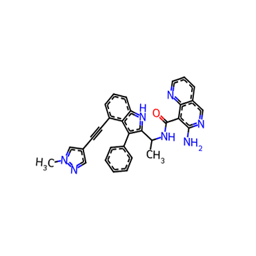 CC(NC(=O)c1c(N)ncc2cccnc12)c1[nH]c2cccc(C#Cc3cnn(C)c3)c2c1-c1ccccc1